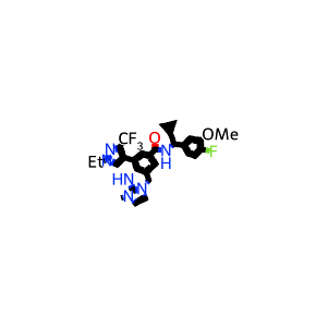 CCn1cc(-c2cc(Cn3ccn(C)c3=N)cc(C(=O)NC(c3ccc(F)c(OC)c3)C3CC3)c2)c(C(F)(F)F)n1